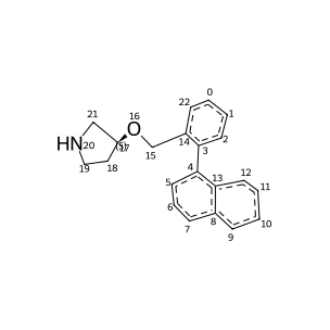 c1ccc(-c2cccc3ccccc23)c(CO[C@H]2CCNC2)c1